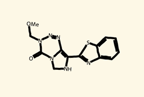 COCN1N=NC2=C(c3nc4ccccc4s3)NCN2C1=O